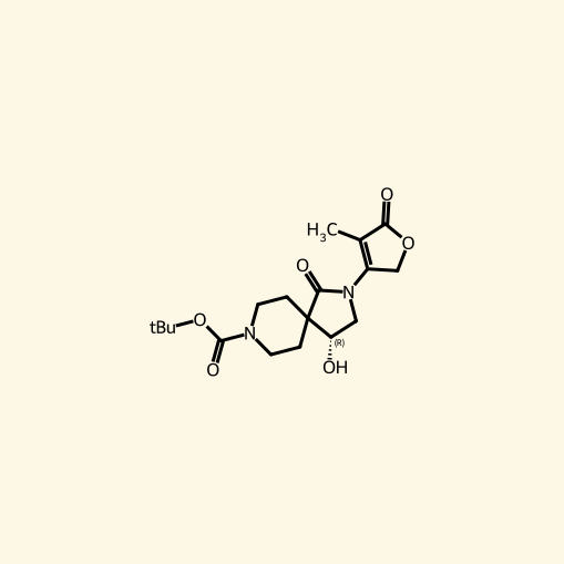 CC1=C(N2C[C@H](O)C3(CCN(C(=O)OC(C)(C)C)CC3)C2=O)COC1=O